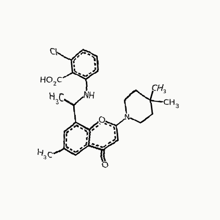 Cc1cc(C(C)Nc2cccc(Cl)c2C(=O)O)c2oc(N3CCC(C)(C)CC3)cc(=O)c2c1